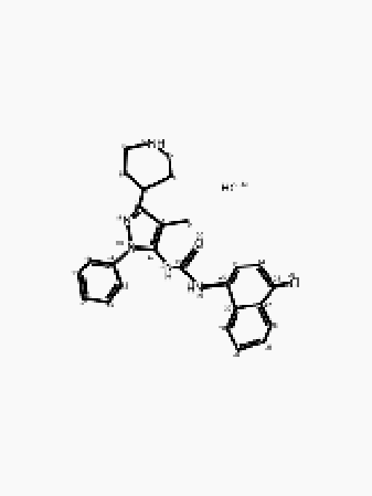 Cc1c(C2CCNCC2)nn(-c2ccccc2)c1NC(=O)Nc1ccc(Cl)c2ccccc12.Cl